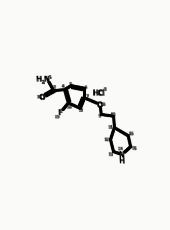 Cl.NC(=O)c1ccc(OCCC2CCNCC2)cc1F